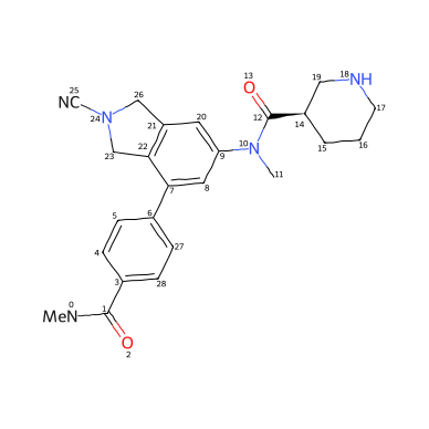 CNC(=O)c1ccc(-c2cc(N(C)C(=O)[C@@H]3CCCNC3)cc3c2CN(C#N)C3)cc1